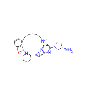 Cc1cccc2c1C(=O)N1CCCCC1c1cc3nc(N4CCC(N)C4)cc(n3n1)N(C)CCCCC2